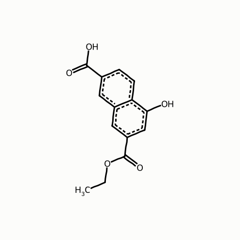 CCOC(=O)c1cc(O)c2ccc(C(=O)O)cc2c1